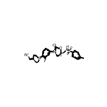 Cc1ccc(S(=O)(=O)NC[C@H]2CN(c3ccc(N4CCC(=CC#N)CC4)c(F)c3)C(=O)O2)cc1